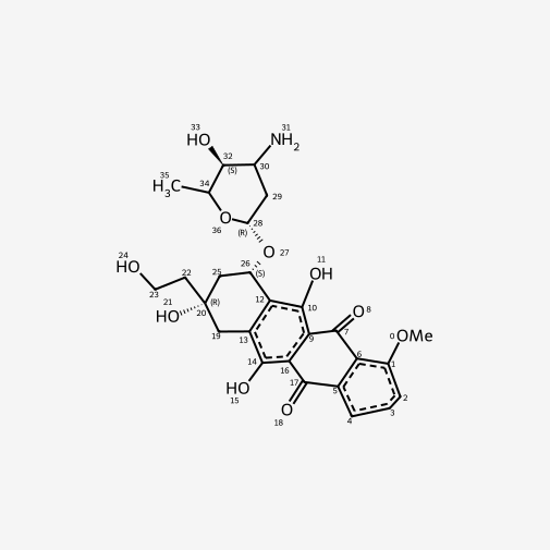 COc1cccc2c1C(=O)c1c(O)c3c(c(O)c1C2=O)C[C@@](O)(CCO)C[C@@H]3O[C@H]1CC(N)[C@H](O)C(C)O1